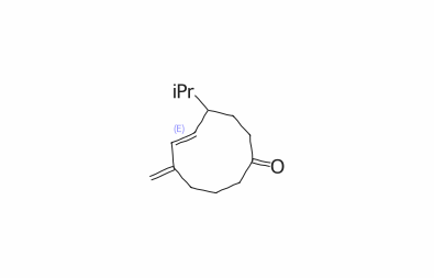 C=C1/C=C/C(C(C)C)CCC(=O)CCC1